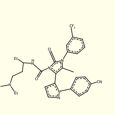 CCC(CCN(CC)CC)NC(=O)n1c(-c2ccnn2-c2ccc(C#N)cc2)c(C)n(-c2cccc(C(F)(F)F)c2)c1=O